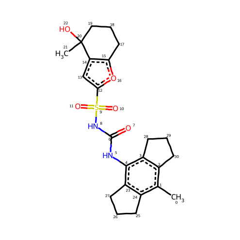 Cc1c2c(c(NC(=O)NS(=O)(=O)c3cc4c(o3)CCCC4(C)O)c3c1CCC3)CCC2